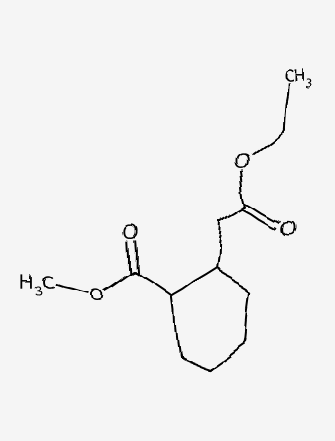 CCOC(=O)CC1CCCCC1C(=O)OC